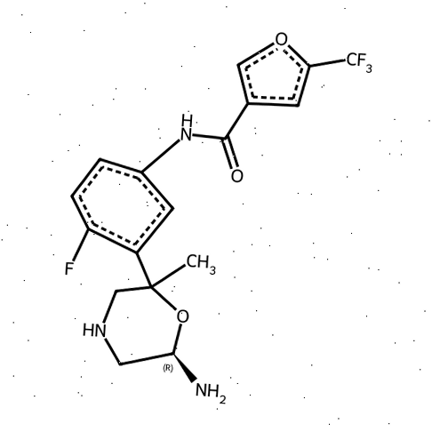 CC1(c2cc(NC(=O)c3coc(C(F)(F)F)c3)ccc2F)CNC[C@H](N)O1